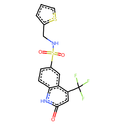 O=c1cc(C(F)(F)F)c2cc(S(=O)(=O)NCc3cccs3)ccc2[nH]1